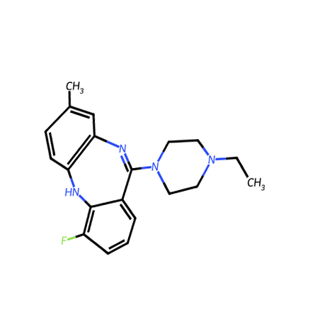 CCN1CCN(C2=Nc3cc(C)ccc3Nc3c(F)cccc32)CC1